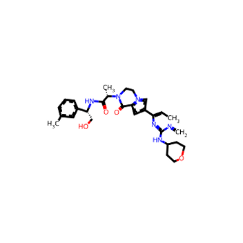 C=N/C(=N\C(=C/C)c1cc2n(c1)CCN([C@@H](C)C(=O)N[C@H](CO)c1cccc(C)c1)C2=O)NC1CCOCC1